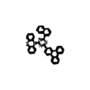 c1ccc2c(c1)Sc1ccccc1N2c1nc(-c2ccc3c4ccccc4c4ccccc4c3c2)nc(-c2cccc3ccccc23)n1